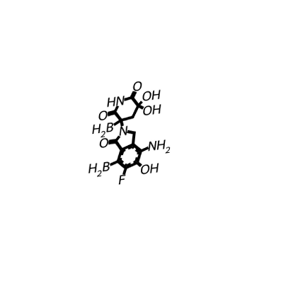 Bc1c(F)c(O)c(N)c2c1C(=O)N(C1(B)CC(O)(O)C(=O)NC1=O)C2